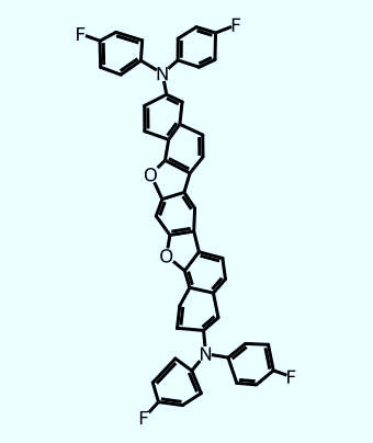 Fc1ccc(N(c2ccc(F)cc2)c2ccc3c(ccc4c5cc6c(cc5oc34)oc3c4ccc(N(c5ccc(F)cc5)c5ccc(F)cc5)cc4ccc63)c2)cc1